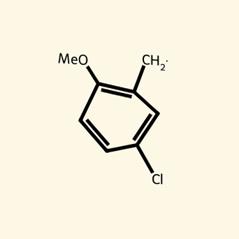 [CH2]c1cc(Cl)ccc1OC